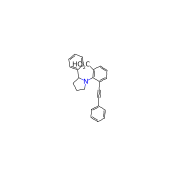 O=C(O)c1cccc(C#Cc2ccccc2)c1N1CCCC1c1ccccc1